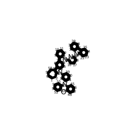 C1=CCc2c(c3cc4c5ccccc5n(-c5cccc(-n6c7ccccc7c7ccccc76)n5)c4cc3n2-c2cccc(N3c4ccccc4Oc4ccccc43)c2)C=C1